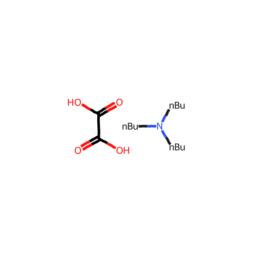 CCCCN(CCCC)CCCC.O=C(O)C(=O)O